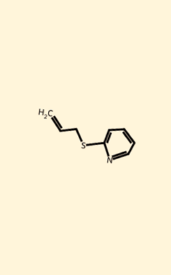 C=CCSc1ccccn1